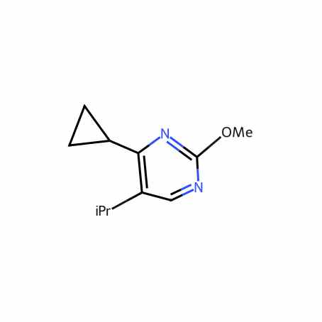 COc1ncc(C(C)C)c(C2CC2)n1